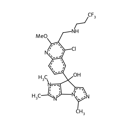 COc1nc2ccc(C3(O)c4c(nc(C)n4C)-n4c3cnc4C)cc2c(Cl)c1CNCCC(F)(F)F